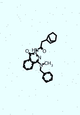 CN(Cc1ccccc1)c1nn(NC(=O)CC2CC3CCC2C3)c(=O)c2ccccc12